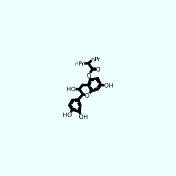 CCCC(CCC)C(=O)Oc1cc(O)cc2c1CC(O)C(c1ccc(O)c(O)c1)O2